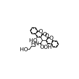 O=C(NCCCO)C(c1c(O)c2ccccc2oc1=O)c1c(O)c2ccccc2oc1=O